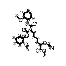 COC(=O)C(CCCCN(C(=O)Oc1ccccc1OC)C(=O)Oc1ccccc1OC)OC#N